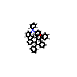 CC1(C)c2c(cccc2-c2c(-c3ccccc3)c3ccccc3c3ccccc23)-c2cccc(N(c3ccccc3)c3ccc(-c4ccccc4)cc3)c21